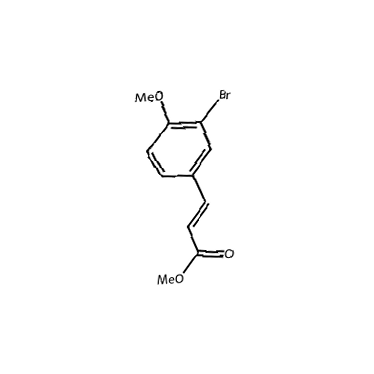 COC(=O)C=Cc1ccc(OC)c(Br)c1